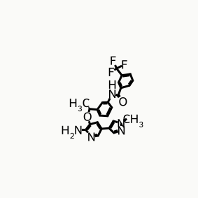 C[C@@H](Oc1cc(-c2cnn(C)c2)cnc1N)c1cccc(NC(=O)c2cccc(C(F)(F)F)c2)c1